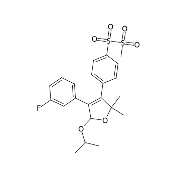 CC(C)OC1OC(C)(C)C(c2ccc(S(=O)(=O)S(C)(=O)=O)cc2)=C1c1cccc(F)c1